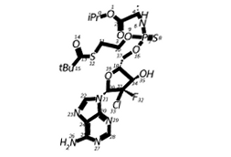 CC(C)OC(=O)[C@H](C)NP(=S)(OCCSC(=O)C(C)(C)C)OC[C@H]1O[C@@H](n2cnc3c(N)ncnc32)[C@@](F)(Cl)[C@@H]1O